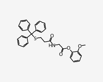 COc1ccccc1OC(=O)CNC(=O)CCSC(c1ccccc1)(c1ccccc1)c1ccccc1